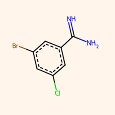 N=C(N)c1cc(Cl)cc(Br)c1